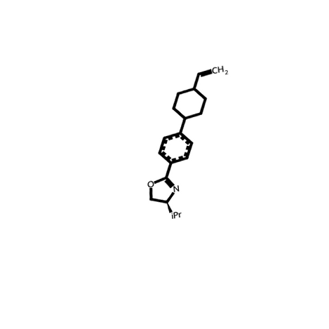 C=CC1CCC(c2ccc(C3=N[C@@H](C(C)C)CO3)cc2)CC1